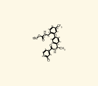 C[C@@H](NC(=O)c1ccnc(Cl)c1)c1ccc(-c2cc(C(F)(F)F)ccc2CNC(=O)OC(C)(C)C)cc1